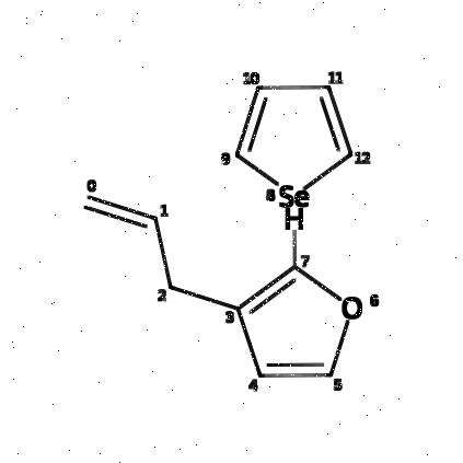 C=CCc1ccoc1[SeH]1C=CC=C1